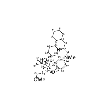 CNCC(CC1CCCCC1)N1CCC[C@@H](C(O)(CCCCOC)c2ccccc2OCCC2CC2)C1